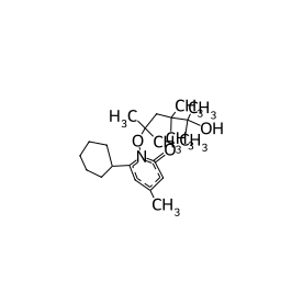 Cc1cc(C2CCCCC2)n(OC(C)(C)CC(C)(C)C(C)(C)O)c(=O)c1